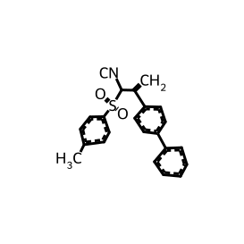 [C-]#[N+]C(C(=C)c1ccc(-c2ccccc2)cc1)S(=O)(=O)c1ccc(C)cc1